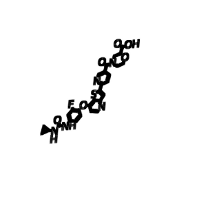 O=C(Nc1ccc(Oc2ccnc3cc(-c4ccc(C(=O)N5CCOC(C(=O)O)C5)cn4)sc23)c(F)c1)NC1CC1